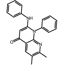 Cc1cc2c(=O)cc(Nc3ccccc3)n(-c3ccccc3)c2nc1C